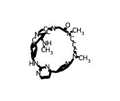 CNC1=C2CN3CCN2Cc2cc(ccc21)Nc1nccc(n1)-c1ccc(nc1)N(C)CCCN(C)C(=O)C3